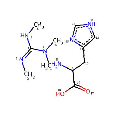 CN=C(NC)N(C)C.NC(Cc1c[nH]cn1)C(=O)O